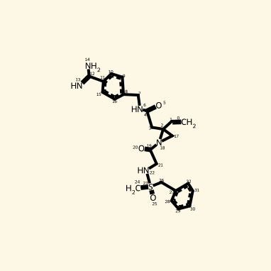 C=CC1(CC(=O)NCc2ccc(C(=N)N)cc2)CN1C(=O)CNS(=C)(=O)Cc1ccccc1